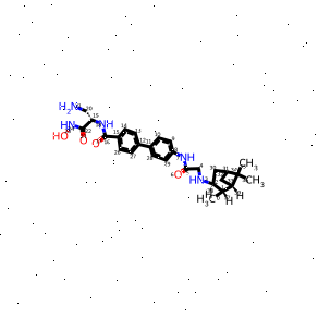 C[C@@H]1[C@@H](NCC(=O)Nc2ccc(-c3ccc(C(=O)N[C@@H](CN)C(=O)NO)cc3)cc2)CC2C[C@@H]1C2(C)C